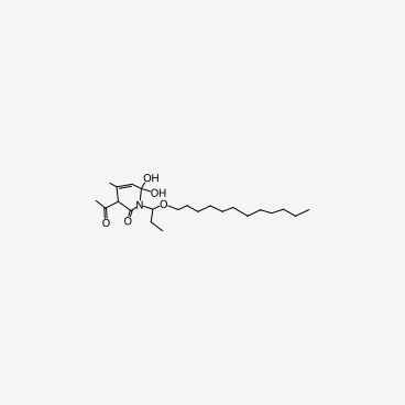 CCCCCCCCCCCCOC(CC)N1C(=O)C(C(C)=O)C(C)=CC1(O)O